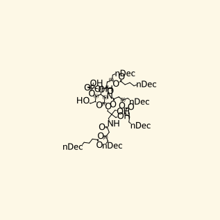 CCCCCCCCCCCCCC(=O)O[C@H](CCCCCCCCCCC)CC(=O)NCC(CO)(CO)CO[C@@H]1OC(CO)[C@@H](OP(=O)(O)O)C(OC(=O)C[C@@H](CCCCCCCCCCC)OC(=O)CCCCCCCCCCCCC)[C@@H]1NC(=O)C[C@@H](CCCCCCCCCCC)OC(=O)CCCCCCCCCCCCC